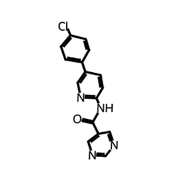 O=C(Nc1ccc(-c2ccc(Cl)cc2)cn1)c1cncnc1